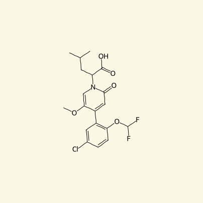 COc1cn(C(CC(C)C)C(=O)O)c(=O)cc1-c1cc(Cl)ccc1OC(F)F